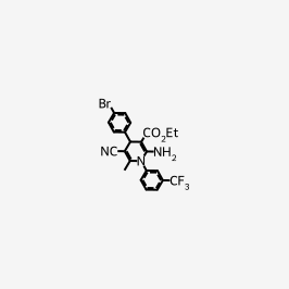 CCOC(=O)C1=C(N)N(c2cccc(C(F)(F)F)c2)C(C)=C(C#N)C1c1ccc(Br)cc1